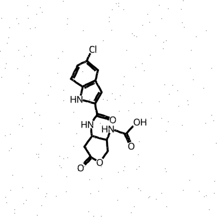 O=C(O)NC1COC(=O)CC1NC(=O)c1cc2cc(Cl)ccc2[nH]1